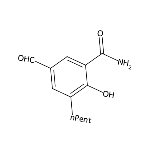 CCCCCc1cc(C=O)cc(C(N)=O)c1O